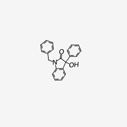 O=C1N(Cc2ccccc2)c2ccccc2C1(O)c1ccccc1